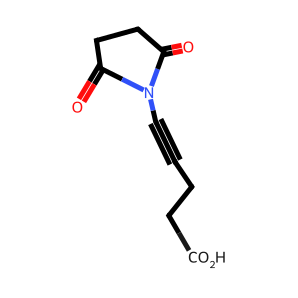 O=C(O)CCC#CN1C(=O)CCC1=O